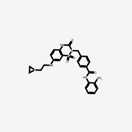 Nc1ccccc1NC(=O)c1ccc(CN2C(=O)Nc3ccc(NCCN4CC4)cc3S2(=O)=O)cc1